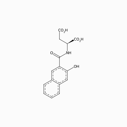 O=C(O)C[C@H](NC(=O)c1cc2ccccc2cc1O)C(=O)O